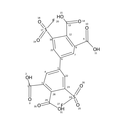 O=C(O)c1cc(-c2cc(C(=O)O)c(C(=O)O)c(S(=O)(=O)F)c2)cc(S(=O)(=O)F)c1C(=O)O